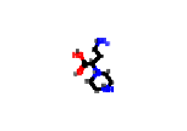 NCCC(C(=O)O)N1CCNCC1